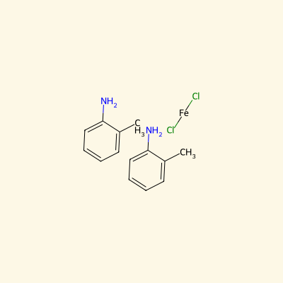 Cc1ccccc1N.Cc1ccccc1N.[Cl][Fe][Cl]